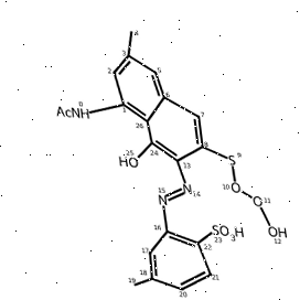 CC(=O)Nc1cc(C)cc2cc(SOOO)c(N=Nc3cc(C)ccc3S(=O)(=O)O)c(O)c12